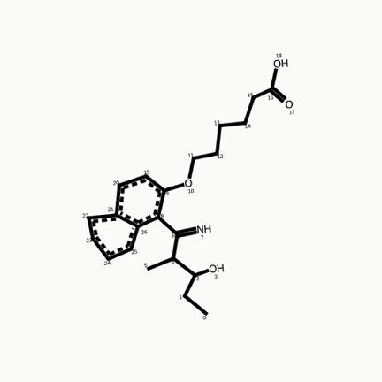 CCC(O)C(C)C(=N)c1c(OCCCCCC(=O)O)ccc2ccccc12